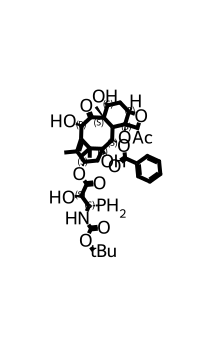 CC(=O)O[C@@]12CO[C@@H]1C[C@H](O)[C@@]1(C)C(=O)[C@H](O)C3=C(C)[C@@H](OC(=O)[C@H](O)[C@H](P)NC(=O)OC(C)(C)C)C[C@@](O)([C@@H](OC(=O)c4ccccc4)C12)C3(C)C